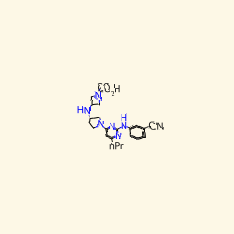 CCCc1cc(N2CC[C@H](NC3CN(C(=O)O)C3)C2)nc(Nc2cccc(C#N)c2)n1